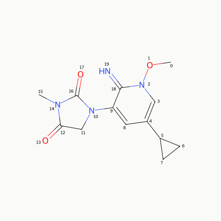 COn1cc(C2CC2)cc(N2CC(=O)N(C)C2=O)c1=N